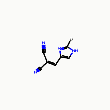 [Li][c]1nc(C=C(C#N)C#N)c[nH]1